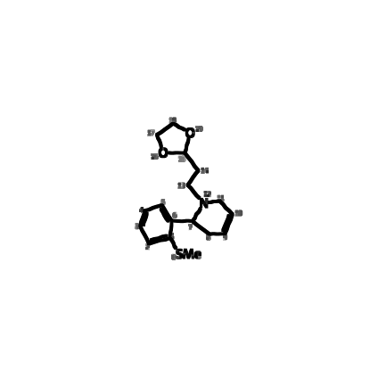 CSc1ccccc1C1CC=CCN1CCC1OCCO1